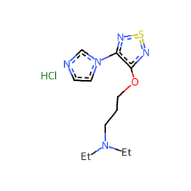 CCN(CC)CCCOc1nsnc1-n1ccnc1.Cl